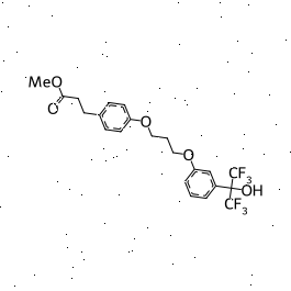 COC(=O)CCc1ccc(OCCCOc2cccc(C(O)(C(F)(F)F)C(F)(F)F)c2)cc1